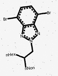 CCCCCCCCCC(CCCCCC)Cn1nc2c(Br)ccc(Br)c2n1